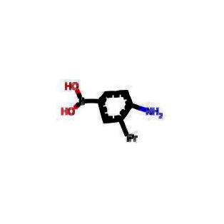 CC(C)c1cc(B(O)O)ccc1N